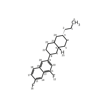 CCC[C@@H]1CC[C@@H]2CC(c3cc(F)c4cc(F)ccc4c3)CCC2C1